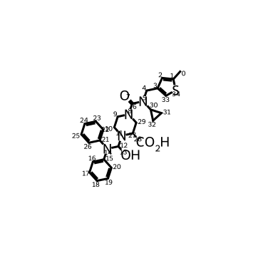 Cc1cc(CN(C(=O)N2CCN(C(O)N(c3ccccc3)c3ccccc3)[C@H](C(=O)O)C2)C2CC2)cs1